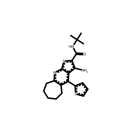 CC(C)(C)NC(=O)c1sc2nc3c(c(-c4cccs4)c2c1N)CCCCC3